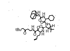 C=CCCC(NC(=O)[C@@H]1[C@@H]2[C@H](CN1C(=O)[C@@H](NC(=O)NC13CC4CC(CC(C4)C1)C3)C1CCCCC1)C2(C)C)C(=O)C(=O)NCCC(=O)CC(C)(C)C